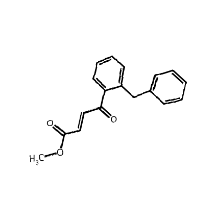 COC(=O)C=CC(=O)c1ccccc1Cc1ccccc1